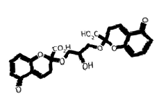 O=C1C=CC=C2OC(OCC(O)COC3(C(=O)O)CC=C4C(=O)C=CC=C4O3)(C(=O)O)CC=C12